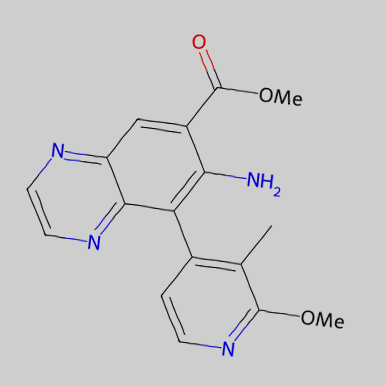 COC(=O)c1cc2nccnc2c(-c2ccnc(OC)c2C)c1N